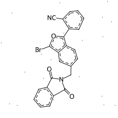 N#Cc1ccccc1-c1oc(Br)c2cc(CN3C(=O)c4ccccc4C3=O)ccc12